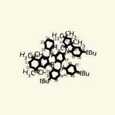 CC1(C)CC2(C)c3cc(C(C)(C)C)ccc3N(c3cc4c5c(c3)N(c3ccccc3)c3cc6c(cc3B5c3cc(C(C)(C)C)ccc3N4c3ccc(C(C)(C)C)cc3)C(C)(C)CCC6(C)C)C2(C)C1